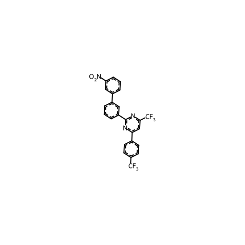 O=[N+]([O-])c1cccc(-c2cccc(-c3nc(-c4ccc(C(F)(F)F)cc4)cc(C(F)(F)F)n3)c2)c1